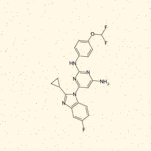 Nc1cc(-n2c(C3CC3)nc3cc(F)ccc32)nc(Nc2ccc(OC(F)F)cc2)n1